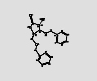 O=C1O[C@H](COCc2ccccc2)C(OCc2ccccc2)[C@H]1Br